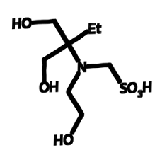 CCC(CO)(CO)N(CCO)CS(=O)(=O)O